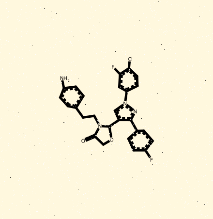 Nc1ccc(CCN2C(=O)COC2c2cn(-c3ccc(Cl)c(F)c3)nc2-c2ccc(F)cc2)cc1